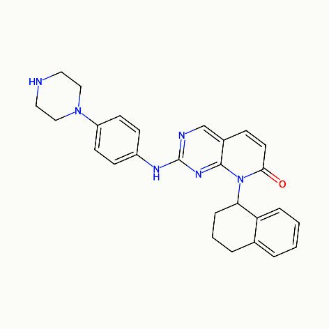 O=c1ccc2cnc(Nc3ccc(N4CCNCC4)cc3)nc2n1C1CCCc2ccccc21